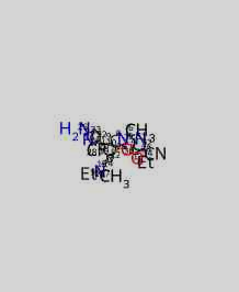 CCOc1cc([C@@H](C)N2CCc3c(cc(CCN(C)CC)cc3-c3ccc(N)nc3C(F)(F)F)C2=O)ncc1C#N